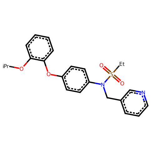 CCS(=O)(=O)N(Cc1cccnc1)c1ccc(Oc2ccccc2OC(C)C)cc1